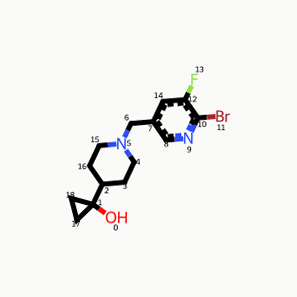 OC1(C2CCN(Cc3cnc(Br)c(F)c3)CC2)CC1